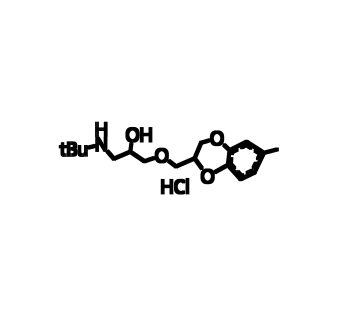 Cc1ccc2c(c1)OCC(COCC(O)CNC(C)(C)C)O2.Cl